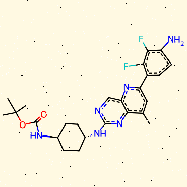 Cc1cc(-c2ccc(N)c(F)c2F)nc2cnc(N[C@H]3CC[C@H](NC(=O)OC(C)(C)C)CC3)nc12